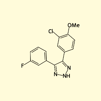 COc1ccc(-c2n[nH]nc2-c2cccc(F)c2)cc1Cl